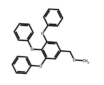 COCc1cc(Oc2ccccc2)c(Oc2ccccc2)c(Oc2ccccc2)c1